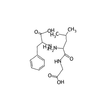 CC(C)CC(N)C(=O)NCC(=O)O.NC(Cc1ccccc1)C(=O)O